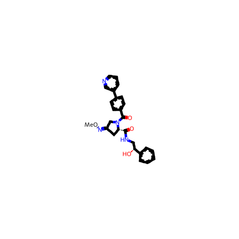 CON=C1C[C@@H](C(=O)NC[C@@H](O)c2ccccc2)N(C(=O)c2ccc(-c3cccnc3)cc2)C1